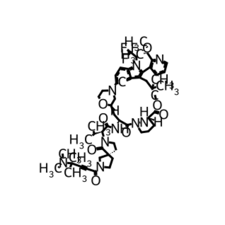 CO[C@@H](C)c1ncccc1-c1c2c3cc(ccc3n1CC(F)(F)F)N1CCO[C@@H](C[C@H](NC(=O)[C@H](C(C)C)N3CC[C@@]4(CCN(C(=O)C#CC(C)(C)N(C)C)C4)C3=O)C(=O)N3CCC[C@H](N3)C(=O)OCC(C)(C)C2)C1